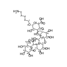 NCCCCCO[C@@H]1OC(C(=O)O)[C@@H](O[C@H]2OC(CO)[C@H](O[C@H]3OC(CO)[C@@H](O[C@@H]4OC(CO)[C@@H](O)C(O)[C@@H]4O)[C@H](O)C3O)[C@H](O)C2O)C(O)[C@@H]1O